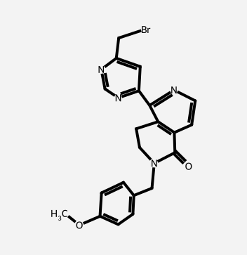 COc1ccc(CN2CCc3c(ccnc3-c3cc(CBr)ncn3)C2=O)cc1